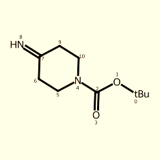 CC(C)(C)OC(=O)N1CCC(=N)CC1